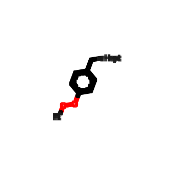 CCCCCCCCc1ccc(OOCC)cc1